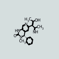 CC(=N)/C(=C(/C)O)c1cc2c(cn1)NC(=O)N(C)[C@H]2c1ccccc1